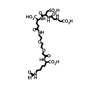 CCC(=O)NCCCCC(NC(=O)COCCOCCNC(=O)CCC(NC(=O)C(CS(=O)(=O)O)NC(=O)CNCC(=O)O)C(=O)O)C(=O)O